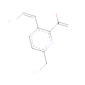 C=C(O)c1nc(CC)ccc1/C=C\C